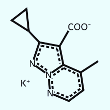 Cc1ccnn2nc(C3CC3)c(C(=O)[O-])c12.[K+]